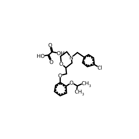 CC(C)Oc1ccccc1OCC1CN(Cc2ccc(Cl)cc2)CCO1.O=C(O)C(=O)O